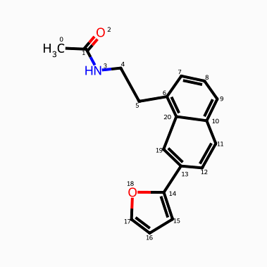 CC(=O)NCCc1cccc2ccc(-c3ccco3)cc12